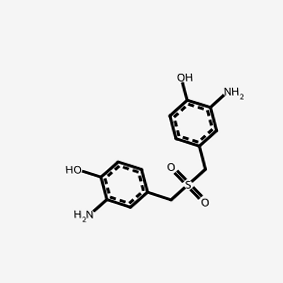 Nc1cc(CS(=O)(=O)Cc2ccc(O)c(N)c2)ccc1O